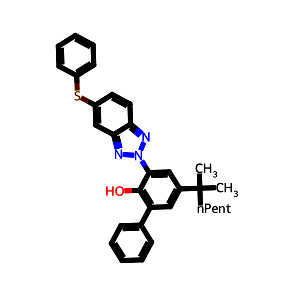 CCCCCC(C)(C)c1cc(-c2ccccc2)c(O)c(-n2nc3ccc(Sc4ccccc4)cc3n2)c1